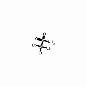 CC[Si](CC)(CC)S(N)(=O)=O